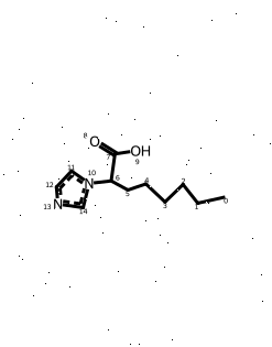 CCCCCCC(C(=O)O)n1ccnc1